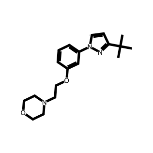 CC(C)(C)c1c[c]n(-c2cccc(OCCN3CCOCC3)c2)n1